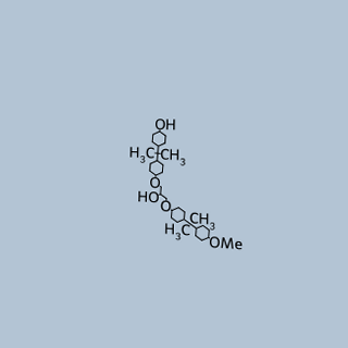 COC1CCC(C(C)(C)C2CCC(OCC(O)COC3CCC(C(C)(C)C4CCC(O)CC4)CC3)CC2)CC1